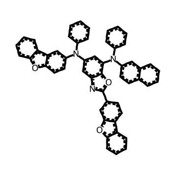 c1ccc(N(c2cc(N(c3ccccc3)c3ccc4ccccc4c3)c3oc(-c4ccc5c(c4)oc4ccccc45)nc3c2)c2ccc3oc4ccccc4c3c2)cc1